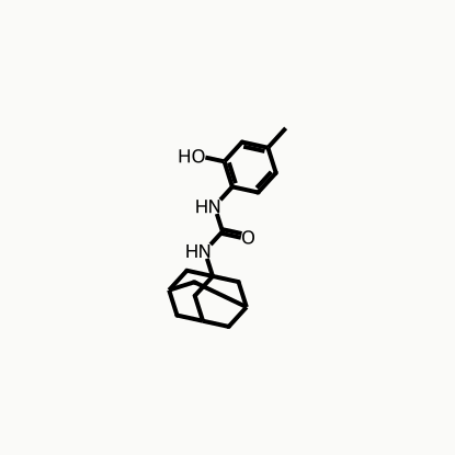 Cc1ccc(NC(=O)NC23CC4CC(CC(C4)C2)C3)c(O)c1